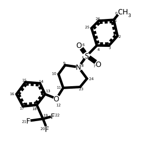 Cc1ccc(S(=O)(=O)N2CCC(Oc3ccccc3C(F)(F)F)CC2)cc1